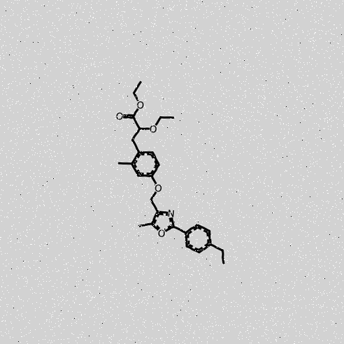 CCOC(=O)C(Cc1ccc(OCc2nc(-c3ccc(CC)cc3)oc2C)cc1C)OCC